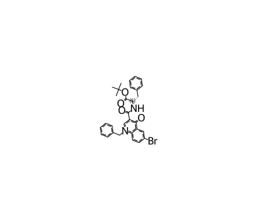 CC(C)(C)OC(=O)[C@H](Cc1ccccc1)NC(=O)c1cn(Cc2ccccc2)c2ccc(Br)cc2c1=O